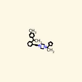 C=C(C1=CCCC=C1C#CN1CCN(C(=C)C2=CC=CC2)CC1)c1ccc(C)cc1